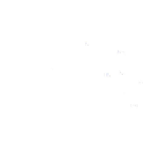 CC(C)(C)OC(=O)NNc1c(N)cnc2cc(OCc3ccccc3)ccc12